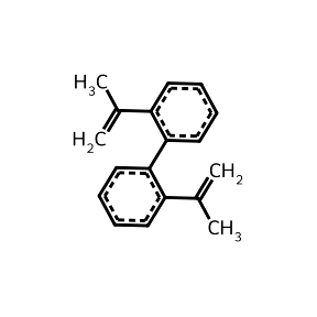 C=C(C)c1ccccc1-c1ccccc1C(=C)C